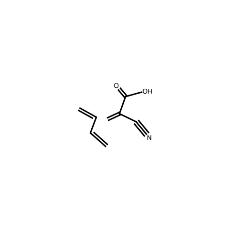 C=C(C#N)C(=O)O.C=CC=C